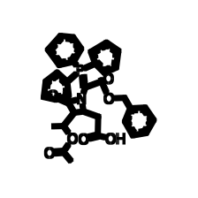 CC(=O)OC(C)C1C(=O)N(C(C(=O)OCc2ccccc2)=P(c2ccccc2)(c2ccccc2)c2ccccc2)C1CC(=O)O